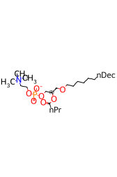 CCCCCCCCCCCCCCCCOC[C@H](COP(=O)([O-])OCC[N+](C)(C)C)OC(=O)CCC